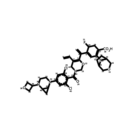 C=CC1=C(C(=C)C2=CC(N3C4CCC3COC4)=C(C(=O)O)CC2F)OCN(C(=O)c2c(Cl)cc(N3CCN(C4COC4)C4CC43)cc2Cl)C1